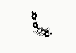 Cc1ccc(Oc2cccc([C@H](CC(=O)O)NC(=O)Nc3c(O)ccn(C)c3=O)c2)cc1